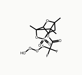 CC12CC3C(O1)C(C)(OS3(=O)=O)C2(C)OC(=O)C(F)(F)SOOO